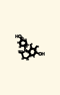 Cc1c(O)cc2c(c1C)N(c1ccc(O)cc1)C(C)CC2